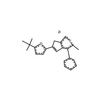 Cc1ccc2c(c1-c1ccccc1)C=C(c1ccc(C(C)(C)C)o1)[CH]2.[Zr]